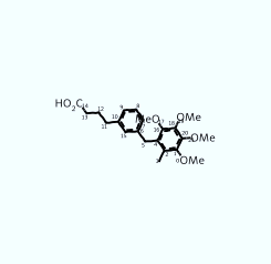 COc1c(C)c(Cc2cccc(CCCC(=O)O)c2)c(OC)c(OC)c1OC